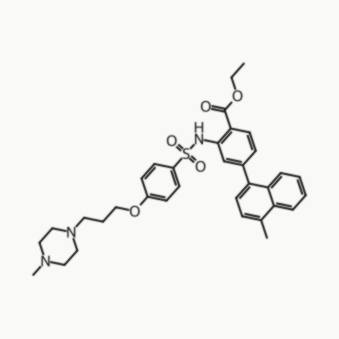 CCOC(=O)c1ccc(-c2ccc(C)c3ccccc23)cc1NS(=O)(=O)c1ccc(OCCCN2CCN(C)CC2)cc1